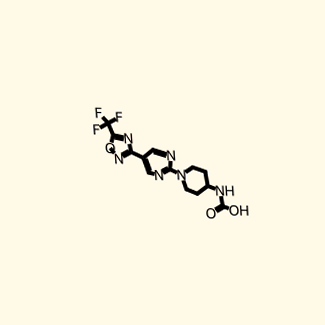 O=C(O)NC1CCN(c2ncc(-c3noc(C(F)(F)F)n3)cn2)CC1